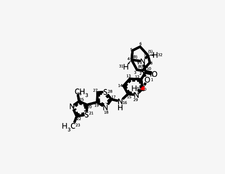 CO[C@H]1C[C@H]2CC[C@@H](C1)N2C(=O)c1ccc(Nc2nc(-c3sc(C)nc3C)cs2)nc1